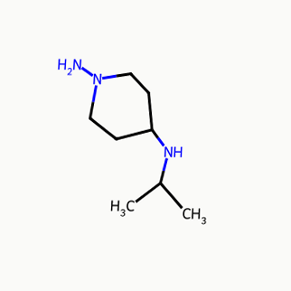 CC(C)NC1CCN(N)CC1